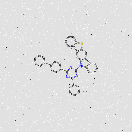 c1ccc(-c2ccc(-c3nc(-c4ccccc4)nc(-n4c5ccccc5c5cc6sc7ccccc7c6cc54)n3)cc2)cc1